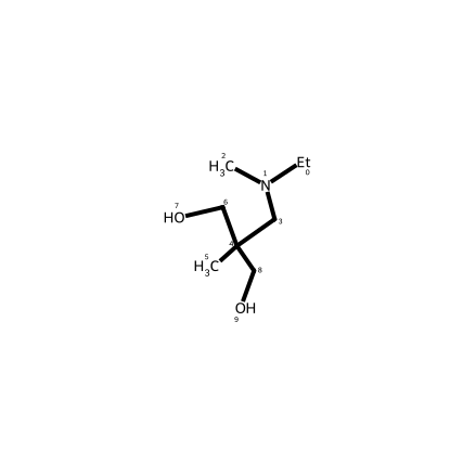 CCN(C)CC(C)(CO)CO